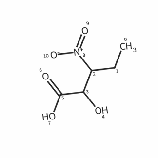 CCC(C(O)C(=O)O)[N+](=O)[O-]